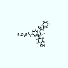 CCOC(=O)CCc1ccc2c(C(=O)CN3CCCCC3)c(C)n(-c3ccc(C#N)cc3)c2c1